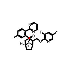 Cc1ccc(-c2ncccn2)c(C(=O)N2C3CC[C@H]2CCC3COc2ncc(Cl)cc2F)c1